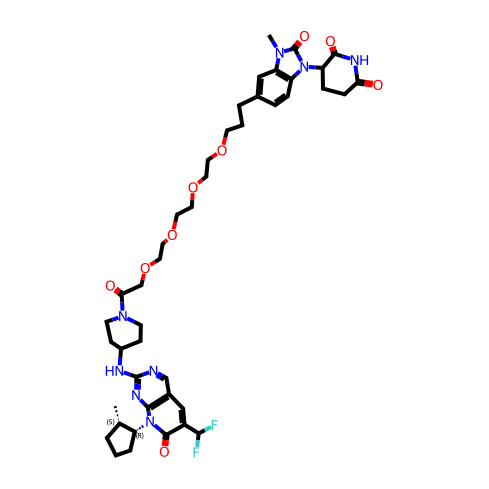 C[C@H]1CCC[C@H]1n1c(=O)c(C(F)F)cc2cnc(NC3CCN(C(=O)COCCOCCOCCOCCCc4ccc5c(c4)n(C)c(=O)n5C4CCC(=O)NC4=O)CC3)nc21